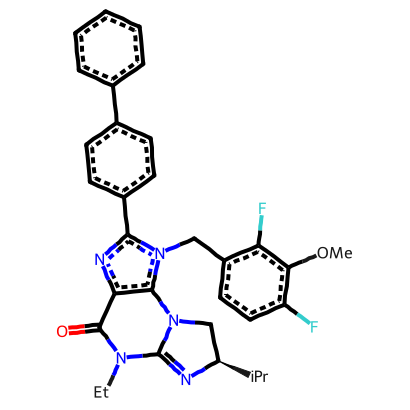 CCN1C(=O)c2nc(-c3ccc(-c4ccccc4)cc3)n(Cc3ccc(F)c(OC)c3F)c2N2C[C@@H](C(C)C)N=C12